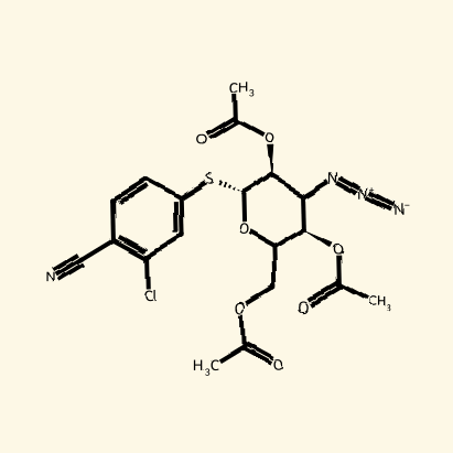 CC(=O)OCC1O[C@H](Sc2ccc(C#N)c(Cl)c2)[C@@H](OC(C)=O)C(N=[N+]=[N-])[C@H]1OC(C)=O